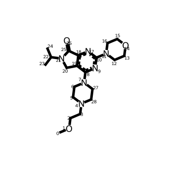 COCCN1CCN(c2nc(N3CCOCC3)nc3c2CN(C(C)C)C3=O)CC1